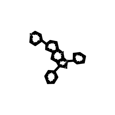 c1ccc(-c2nn(-c3ccccc3)c3nc4ccc(-c5ccncc5)cc4cc23)cc1